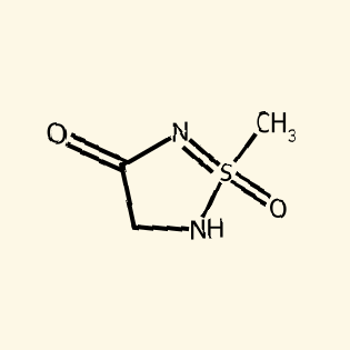 CS1(=O)=NC(=O)CN1